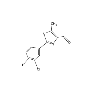 Cc1sc(-c2ccc(F)c(Cl)c2)nc1C=O